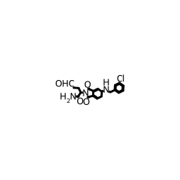 NC(=O)C(CCC=O)N1C(=O)C2=CCC(NCc3cccc(Cl)c3)C=C2C1=O